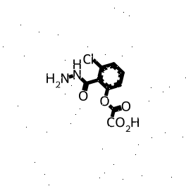 NNC(=O)c1c(Cl)cccc1OC(=O)C(=O)O